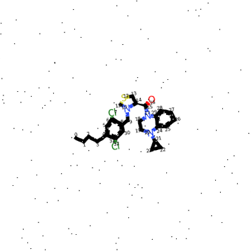 [CH2]CCCc1cc(Cl)c(CN2CSC[C@H]2C(=O)N2CCN(C3CC3)c3ccccc32)cc1Cl